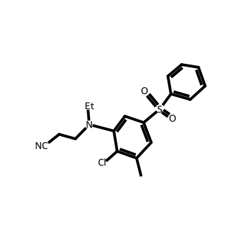 CCN(CCC#N)c1cc(S(=O)(=O)c2ccccc2)cc(C)c1Cl